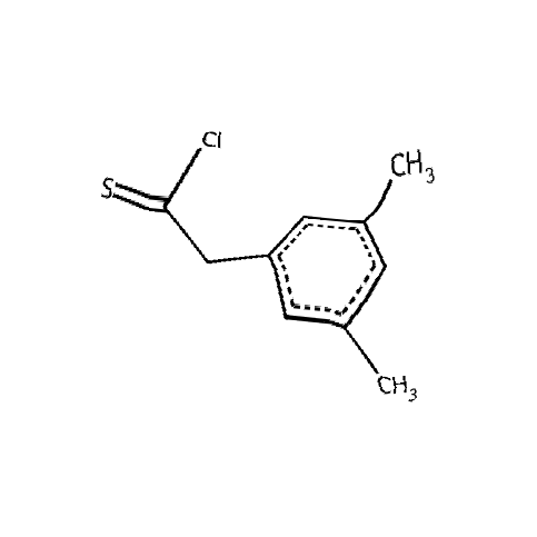 Cc1cc(C)cc(CC(=S)Cl)c1